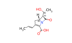 CC=CC1=C(C(=O)O)N2C(=O)[C@H]([C@@H](C)O)[C@H]2C1